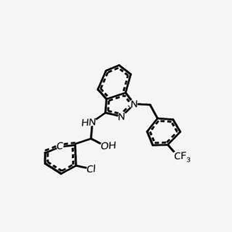 OC(Nc1nn(Cc2ccc(C(F)(F)F)cc2)c2ccccc12)c1ccccc1Cl